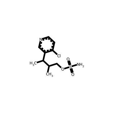 CC(COS(N)(=O)=O)C(C)c1cnccc1Cl